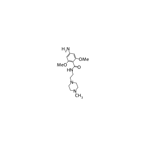 COc1cc(N)cc(OC)c1C(=O)NCCN1CCN(C)CC1